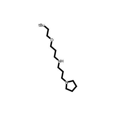 CC(C)(C)CCOCCCNCCCN1CCCC1